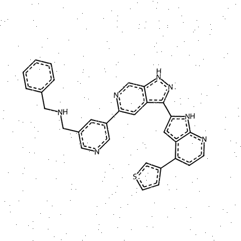 c1ccc(CNCc2cncc(-c3cc4c(-c5cc6c(-c7ccsc7)ccnc6[nH]5)n[nH]c4cn3)c2)cc1